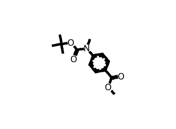 COC(=O)c1ccc(N(C)C(=O)OC(C)(C)C)cc1